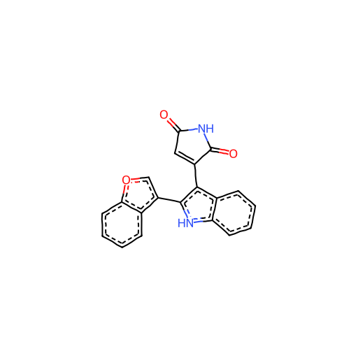 O=C1C=C(c2c(-c3coc4ccccc34)[nH]c3ccccc23)C(=O)N1